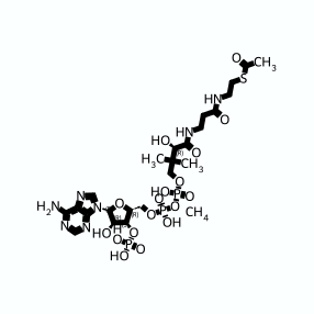 C.CC(=O)SCCNC(=O)CCNC(=O)[C@H](O)C(C)(C)COP(=O)(O)OP(=O)(O)OC[C@H]1O[C@@H](n2cnc3c(N)ncnc32)[C@H](O)[C@@H]1OP(=O)(O)O